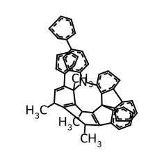 CC1C=C(c2ccccc2)C2(C)C3=C1C(C)C1=C(C3C)C3(c4ccccc41)c1ccccc1-c1cccc(c13)N2c1ccc(-c2ccccc2)cc1